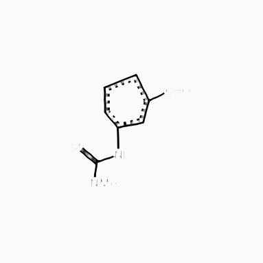 CNC(=O)Nc1cccc(C=O)c1